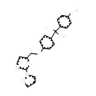 Cc1ccc(C(C)(C)c2ccc(OCc3ccnc(-n4cccn4)n3)cc2)cc1